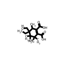 CCC1(CC)C(C)C(C(=O)O)=C(C(=O)O)C(C)(C)C1(C)C